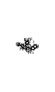 CC1=C(C(=O)Nc2ccc3cnccc3c2)C(c2ccc(C(F)(F)F)c(F)c2)n2nc(C3COC3)cc2N1